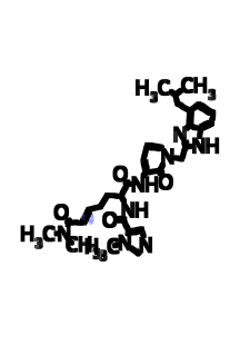 CC(C)Cc1cccc2[nH]c(Cn3cccc(NC(=O)C(CC/C=C/C(=O)N(C)C)NC(=O)c4cncn4C)c3=O)nc12